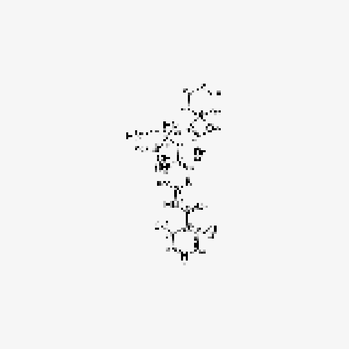 CC[C@@](Cc1ccc(NC(=O)c2c(Cl)cncc2Cl)cn1)(NC1=C(Br)OC12CCCCC2)C(=O)O